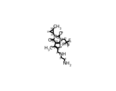 Cc1c(CNCCN)sc2c1c(=O)n(C1CC1C)c(=O)n2CC(F)(F)F